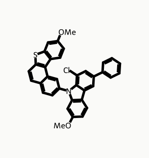 COc1ccc2c(c1)sc1ccc3ccc(-n4c5cc(OC)ccc5c5cc(-c6ccccc6)cc(Cl)c54)cc3c12